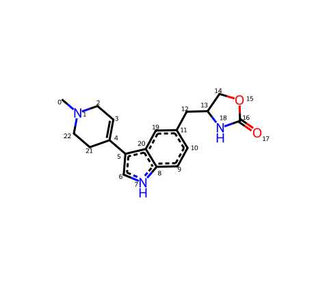 CN1CC=C(c2c[nH]c3ccc(CC4COC(=O)N4)cc23)CC1